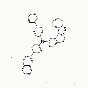 c1ccc(-c2ccc(N(c3ccc(-c4ccc5ccccc5c4)cc3)c3ccc4ccc5sc6ccccc6c5c4c3)cc2)cc1